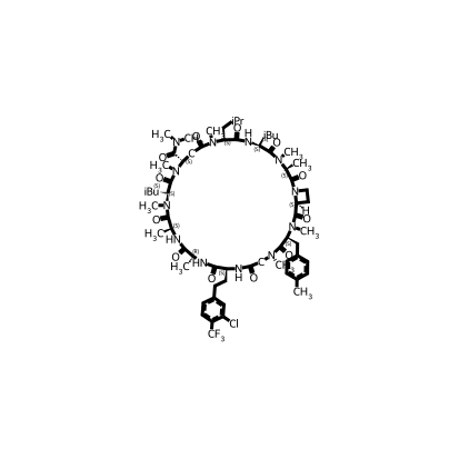 CC[C@H](C)[C@@H]1NC(=O)[C@H](CC(C)C)N(C)C(=O)C[C@@H](C(=O)N(C)C)N(C)C(=O)[C@H]([C@@H](C)CC)N(C)C(=O)[C@H](C)NC(=O)[C@@H](C)NC(=O)[C@H](CCc2ccc(C(F)(F)F)c(Cl)c2)NC(=O)CN(C)C(=O)[C@H](Cc2ccc(C)cc2)N(C)C(=O)[C@@H]2CCN2C(=O)[C@H](C)N(C)C1=O